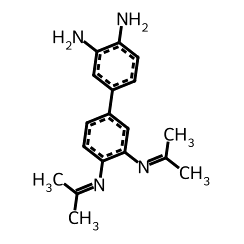 CC(C)=Nc1ccc(-c2ccc(N)c(N)c2)cc1N=C(C)C